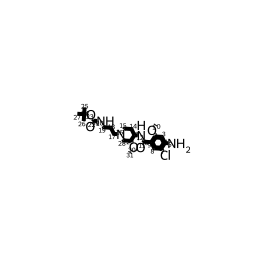 COc1cc(N)c(Cl)cc1C(=O)NC1CCN(CCCNC(=O)OC(C)(C)C)CC1OC